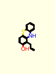 C=CCc1c(O)ccc2c1Nc1ccccc1S2